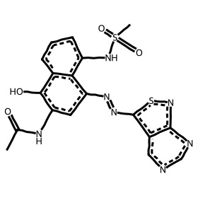 CC(=O)Nc1cc(/N=N/c2snc3ncncc23)c2c(NS(C)(=O)=O)cccc2c1O